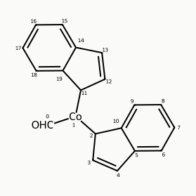 O=[CH][Co]([CH]1C=Cc2ccccc21)[CH]1C=Cc2ccccc21